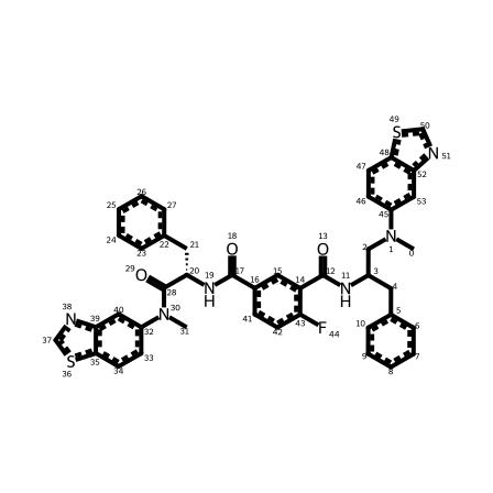 CN(CC(Cc1ccccc1)NC(=O)c1cc(C(=O)N[C@@H](Cc2ccccc2)C(=O)N(C)c2ccc3scnc3c2)ccc1F)c1ccc2scnc2c1